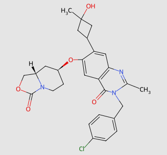 Cc1nc2cc(C3CC(C)(O)C3)c(O[C@H]3CCN4C(=O)OC[C@@H]4C3)cc2c(=O)n1Cc1ccc(Cl)cc1